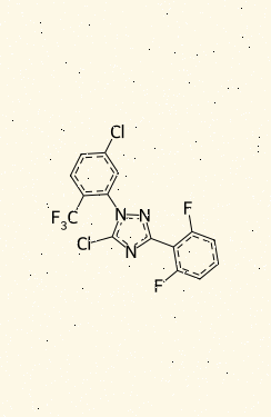 Fc1cccc(F)c1-c1nc(Cl)n(-c2cc(Cl)ccc2C(F)(F)F)n1